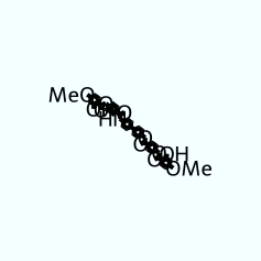 COc1ccc(C(=O)Oc2ccc(C(=O)Nc3ccc(-c4ccc(OC(=O)c5ccc(OC(=O)c6ccc(OC)cc6O)cc5)cc4)cc3)cc2)c(O)c1